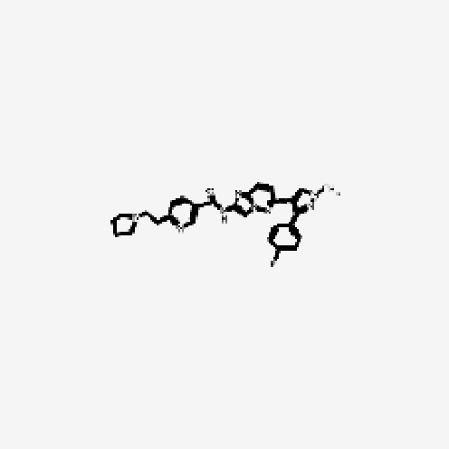 Cn1cc(-c2ccc3nc(NC(=O)c4ccc(CCN5CCCC5)nc4)cn3n2)c(-c2ccc(F)cc2)n1